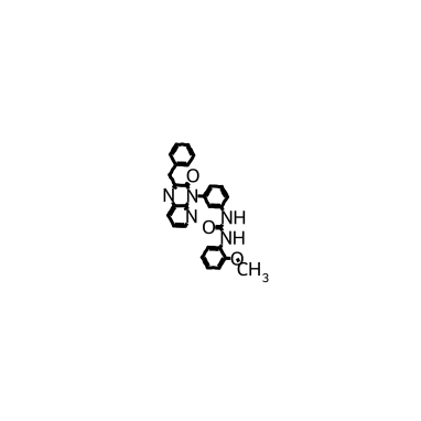 COc1ccccc1NC(=O)Nc1cccc(-n2c(=O)c(Cc3ccccc3)nc3cccnc32)c1